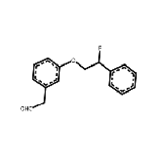 O=CCc1cccc(OCC(F)c2ccccc2)c1